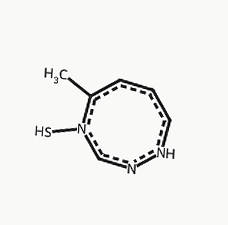 Cc1ccc[nH]ncn1S